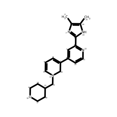 Cc1nc(-c2cc(C3=CC=CN(CC4CCOCC4)C3)ccn2)[nH]c1C